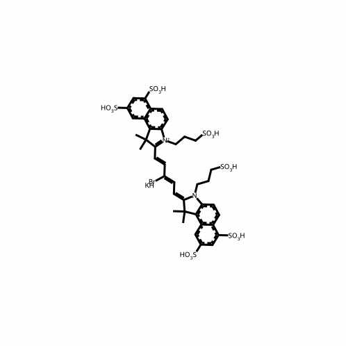 CC1(C)C(/C=C/C(Br)=C/C=C2\N(CCCS(=O)(=O)O)c3ccc4c(S(=O)(=O)O)cc(S(=O)(=O)O)cc4c3C2(C)C)=[N+](CCCS(=O)(=O)O)c2ccc3c(S(=O)(=O)O)cc(S(=O)(=O)O)cc3c21.[KH]